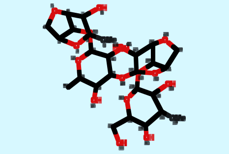 COC1OC2COC(C1O)C2OC1OC(C)C(O)C(OC2OC3COC(C2O)C3OC2OC(CO)C(O)C(OC)C2O)C1O